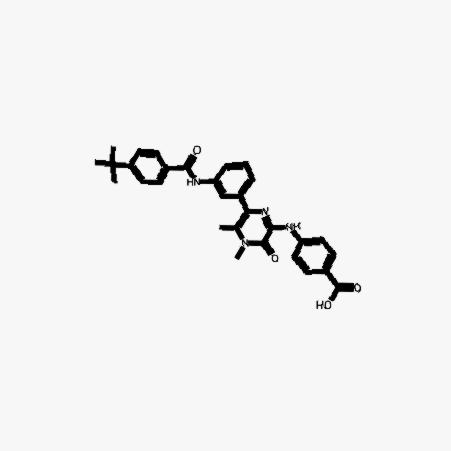 Cc1c(-c2cccc(NC(=O)c3ccc(C(C)(C)C)cc3)c2)nc(Nc2ccc(C(=O)O)cc2)c(=O)n1C